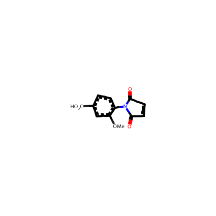 COc1cc(C(=O)O)ccc1N1C(=O)C=CC1=O